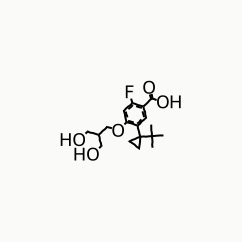 CC(C)(C)C1(c2cc(C(=O)O)c(F)cc2OCC(CO)CO)CC1